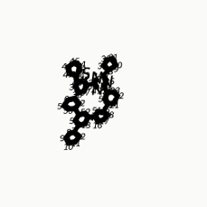 c1ccc(-c2cc(-c3ccccc3)cc(-c3cccc(-c4cccc(-c5nc(-c6ccccc6)nc(-c6cccc7c6sc6ccccc67)n5)c4)c3)c2)cc1